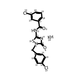 O=C(Nc1nc(=O)n(Cc2ccc(Cl)cc2)s1)c1cccc(Cl)c1.[KH]